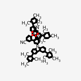 Cc1cc(C)c(-c2ccc3c(c2)c2cc(-c4c(C)cc(C)cc4C)ccc2n3-c2ccc(-c3ccc(C#N)cc3C(F)(F)F)c(-c3cc(C#N)ccc3-n3c4ccc(-c5c(C)cc(C)cc5C)cc4c4cc(-c5c(C)cc(C)cc5C)ccc43)c2)c(C)c1